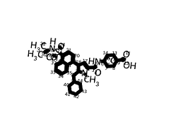 CN1C(C(=O)NC23CCC(C(=O)O)(CC2)CC3)=CC(c2ccc(S(=O)(=O)NC(C)(C)C)c3ccccc23)C1CC1CCCCC1